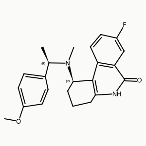 COc1ccc([C@@H](C)N(C)[C@@H]2CCCc3[nH]c(=O)c4cc(F)ccc4c32)cc1